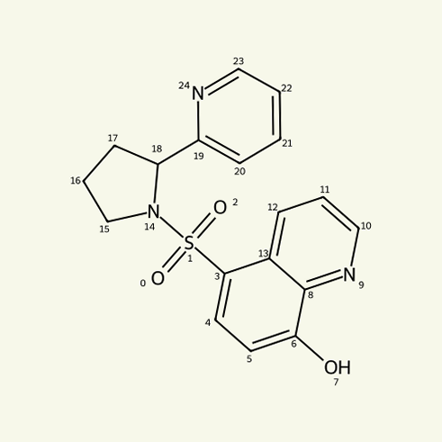 O=S(=O)(c1ccc(O)c2ncccc12)N1CCCC1c1ccccn1